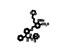 COc1c(C(=O)O)ccc(COc2cccc([C@@H](NC(=O)O[C@H]3CN4CCC3CC4)c3ccccc3)c2)c1CCCC1OCCO1